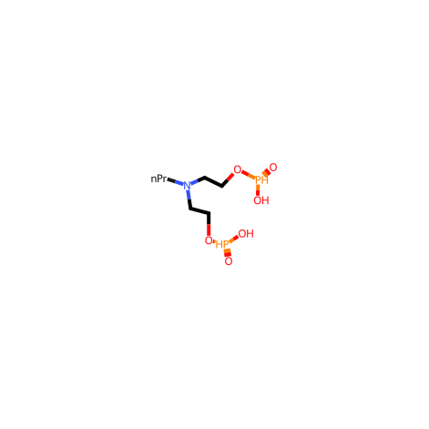 CCCN(CCO[PH](=O)O)CCO[PH](=O)O